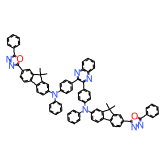 CC1(C)c2cc(-c3nnc(-c4ccccc4)o3)ccc2-c2ccc(N(c3ccccc3)c3ccc(-c4nc5ccccc5nc4-c4ccc(N(c5ccccc5)c5ccc6c(c5)C(C)(C)c5cc(-c7nnc(-c8ccccc8)o7)ccc5-6)cc4)cc3)cc21